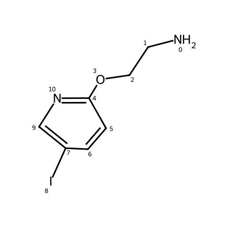 NCCOc1ccc(I)cn1